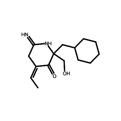 C/C=C1/CC(=N)NC(CO)(CC2CCCCC2)C1=O